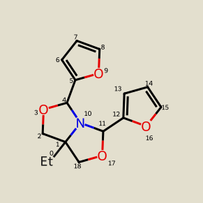 CCC12COC(c3ccco3)N1C(c1ccco1)OC2